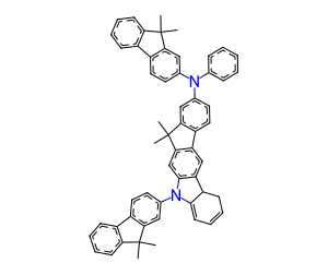 CC1(C)c2ccccc2-c2ccc(N3C4=CC=CCC4c4cc5c(cc43)C(C)(C)c3cc(N(c4ccccc4)c4ccc6c(c4)C(C)(C)c4ccccc4-6)ccc3-5)cc21